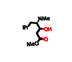 CN[C@@H](CC(C)C)C(O)CC(=O)OC